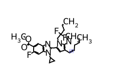 C=CCC(F)(F)Cn1c(-c2nc3cc(C(=O)OC)c(F)cc3n2C2CC2)cc(/C=C\CCC)c1N=C